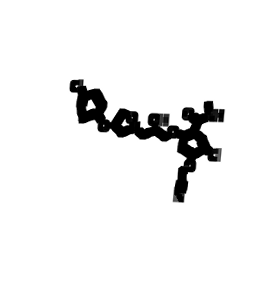 CNC(=O)c1cc(Cl)c(OCC#N)cc1OC[C@H](O)CN1C[C@@H](Oc2ccc(Cl)cc2)CO1